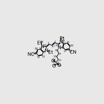 CCN1/C(=C\C=C\c2n(CCCCS(=O)(=O)[O-])c3cc(C#N)ccc3[n+]2CC)N(CC)c2cc(C#N)ccc21